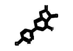 O=C1NCc2cc(-c3ccc(Cl)nn3)cc(F)c21